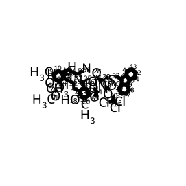 COCOc1c(OC)c(C)cc2c1[C@@H]1C3Cc4c(O)c(C)c5c(c4[C@H](COC(=O)[C@@H](CSCC4c6ccccc6-c6ccccc64)NC(=O)OCC(Cl)(Cl)Cl)N3C(C#N)[C@H](C2)N1C)OCO5